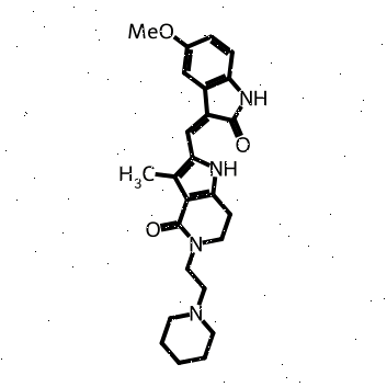 COc1ccc2c(c1)C(=Cc1[nH]c3c(c1C)C(=O)N(CCN1CCCCC1)CC3)C(=O)N2